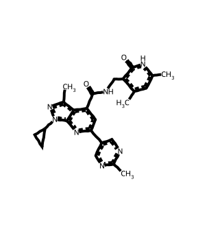 Cc1ncc(-c2cc(C(=O)NCc3c(C)cc(C)[nH]c3=O)c3c(C)nn(C4CC4)c3n2)cn1